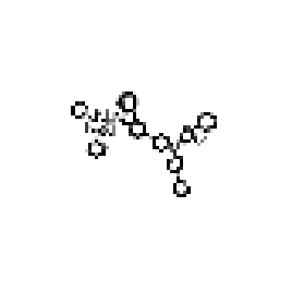 c1ccc(-c2ccc(N(c3ccc(-c4ccc5c(c4)c4ccccc4n5-c4nc(-c5ccccc5)nc(-c5ccccc5)n4)cc3)c3ccc4c(c3)oc3ccccc34)cc2)cc1